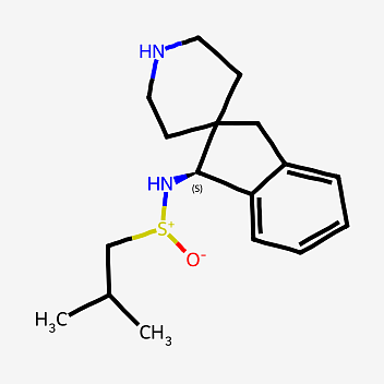 CC(C)C[S+]([O-])N[C@@H]1c2ccccc2CC12CCNCC2